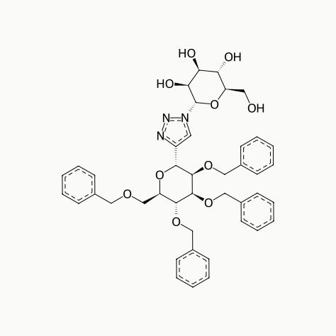 OC[C@H]1O[C@H](n2cc([C@H]3O[C@H](COCc4ccccc4)[C@@H](OCc4ccccc4)[C@H](OCc4ccccc4)[C@@H]3OCc3ccccc3)nn2)[C@@H](O)[C@@H](O)[C@@H]1O